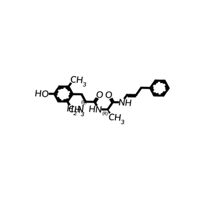 Cc1cc(O)cc(C)c1C[C@@H](N)C(=O)N[C@H](C)C(=O)NC=CCc1ccccc1